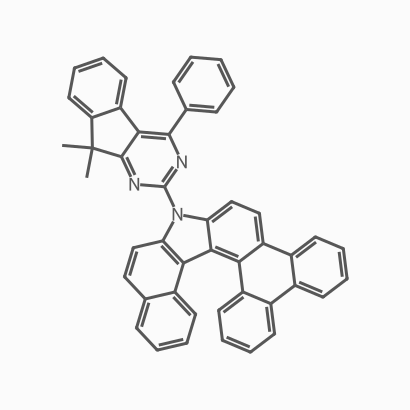 CC1(C)c2ccccc2-c2c(-c3ccccc3)nc(-n3c4ccc5ccccc5c4c4c5c6ccccc6c6ccccc6c5ccc43)nc21